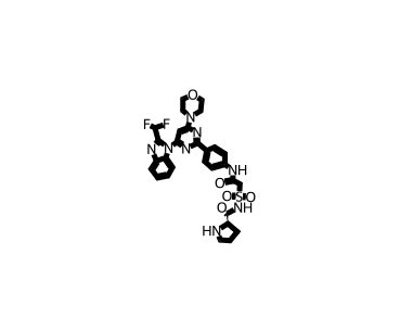 O=C(CS(=O)(=O)NC(=O)[C@@H]1CCCN1)Nc1ccc(-c2nc(N3CCOCC3)cc(-n3c(C(F)F)nc4ccccc43)n2)cc1